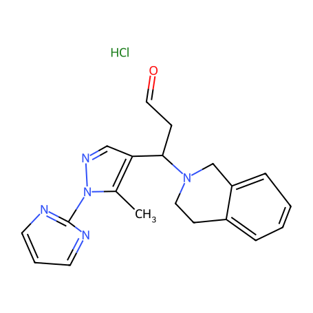 Cc1c(C(CC=O)N2CCc3ccccc3C2)cnn1-c1ncccn1.Cl